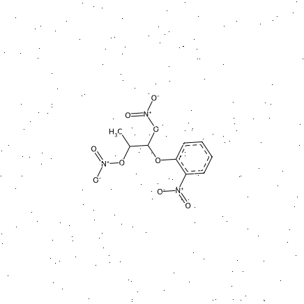 CC(O[N+](=O)[O-])C(Oc1ccccc1[N+](=O)[O-])O[N+](=O)[O-]